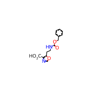 O=C(NCCc1ocnc1C(=O)O)OCc1ccccc1